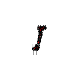 CCCS(=O)(=O)Nc1ccc(F)c(-n2cc(-c3cncnc3)c3nc(N(C)C4CCN(C(=O)CCOCCOCCOCCOCCOCCOCCNc5cccc6c5C(=O)N(C5CCC(=O)NC5=O)C6=O)CC4)ccc32)c1F